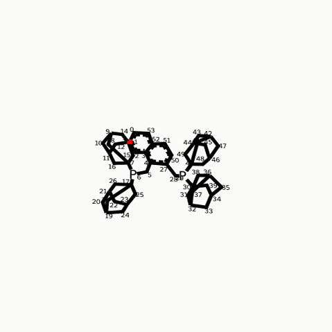 c1ccc2c(CP(C34CC5CC(CC(C5)C3)C4)C34CC5CC(CC(C5)C3)C4)c(CP(C34CC5CC(CC(C5)C3)C4)C34CC5CC(CC(C5)C3)C4)ccc2c1